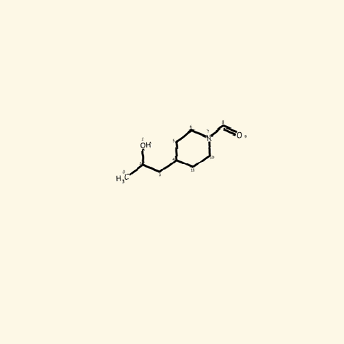 CC(O)CC1CCN(C=O)CC1